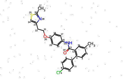 Cc1ccc(-c2ccc(Cl)cc2)c(C(=O)Nc2ccc(OCCc3csc(C)n3)cc2)c1